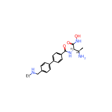 CCNCc1ccc(-c2ccc(C(=O)N[C@H](C(=O)NO)[C@@H](C)N)cc2)cc1